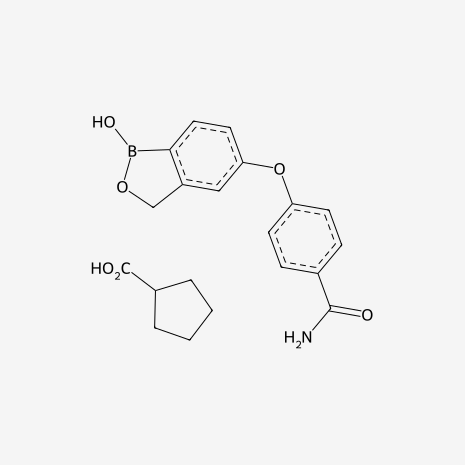 NC(=O)c1ccc(Oc2ccc3c(c2)COB3O)cc1.O=C(O)C1CCCC1